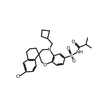 CC(C)C(=O)NS(=O)(=O)c1ccc2c(c1)N(CC1CCC1)CC1(CCCc3cc(Cl)ccc31)CO2